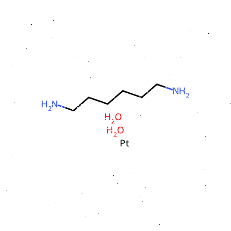 NCCCCCCN.O.O.[Pt]